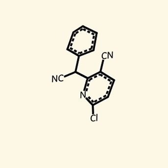 N#Cc1ccc(Cl)nc1C(C#N)c1ccccc1